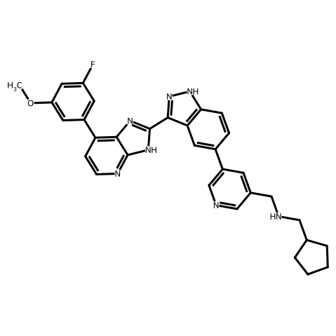 COc1cc(F)cc(-c2ccnc3[nH]c(-c4n[nH]c5ccc(-c6cncc(CNCC7CCCC7)c6)cc45)nc23)c1